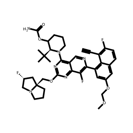 C#Cc1c(F)ccc2cc(OCOC)cc(-c3ncc4c(N5CCCC(OC(N)=O)[C@@H]5C(C)(C)C)nc(OC[C@@]56CCCN5C[C@H](F)C6)nc4c3F)c12